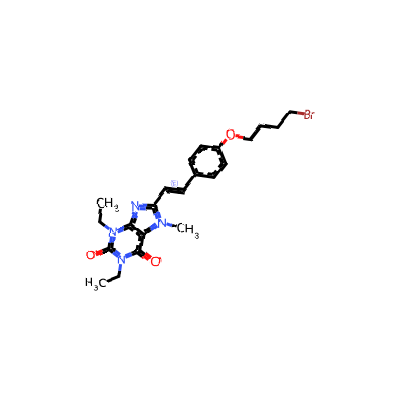 CCn1c(=O)c2c(nc(/C=C/c3ccc(OCCCCBr)cc3)n2C)n(CC)c1=O